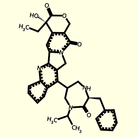 CC[C@@]1(O)C(=O)OCc2c1cc1n(c2=O)Cc2c-1nc1ccccc1c2C1CN[C@@H](Cc2ccccc2)C(=O)N(C(C)C)C1